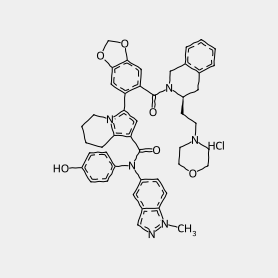 Cl.Cn1ncc2cc(N(C(=O)c3cc(-c4cc5c(cc4C(=O)N4Cc6ccccc6C[C@H]4CCN4CCOCC4)OCO5)n4c3CCCC4)c3ccc(O)cc3)ccc21